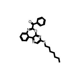 CCCCCCCSc1cnc2c(n1)OC(C(=O)c1ccccc1)=Nc1ccccc1-2